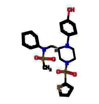 CS(=O)(=O)N(C[C@H]1CN(S(=O)(=O)c2cccs2)CCN1c1ccc(O)cc1)c1ccccc1